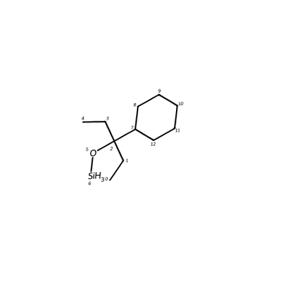 CCC(CC)(O[SiH3])C1CCCCC1